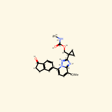 COc1ccc(-c2ccc3c(c2)CCC3=O)n2nc(C3(COC(=O)NC(C)C)CC3)nc12